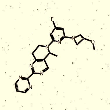 COC1CN(c2cc(F)cc(N3CCc4nc(-c5ncccn5)ncc4C3C)n2)C1